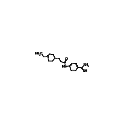 N=C(N)c1ccc(NC(=O)CCC2CCN(CC(=O)O)CC2)cc1